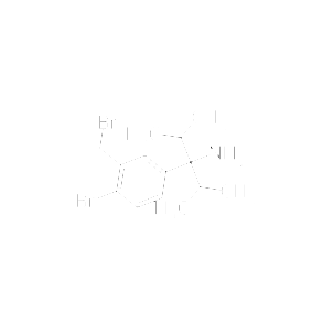 CC(C)C(N)(c1ccc(Br)c(CBr)c1)C(C)C